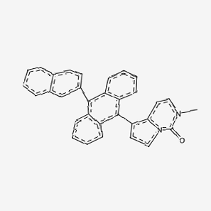 Cn1ccc2c(-c3c4ccccc4c(-c4ccc5ccccc5c4)c4ccccc34)ccn2c1=O